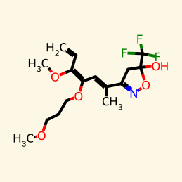 C=C/C(OC)=C(\C=C(/C)C1=NOC(O)(C(F)(F)F)C1)OCCCOC